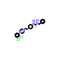 S=C(NCc1ccccc1)N[C@H]1CC[C@H](CCN2CCN(c3cccc(Cl)c3Cl)CC2)CC1